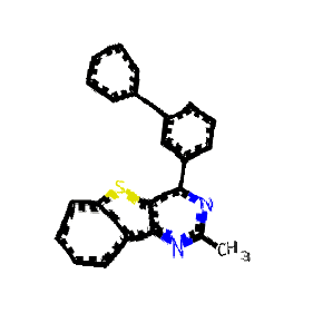 Cc1nc(-c2cccc(-c3ccccc3)c2)c2sc3ccccc3c2n1